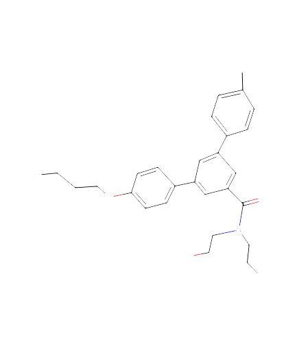 CCCCOc1ccc(-c2cc(C(=O)N(CCO)CCO)cc(-c3ccc(C)cc3)c2)cc1